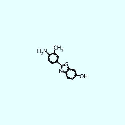 Cc1cc(-c2nc3ccc(O)cc3s2)ccc1N